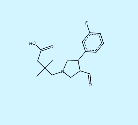 CC(C)(CC(=O)O)CN1CC(C=O)C(c2cccc(F)c2)C1